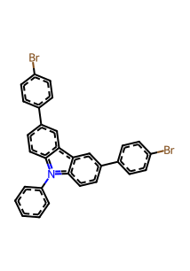 Brc1ccc(-c2ccc3c(c2)c2cc(-c4ccc(Br)cc4)ccc2n3-c2ccccc2)cc1